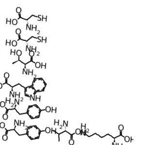 CC(C)[C@H](N)C(=O)O.C[C@@H](O)[C@H](N)C(=O)O.NCCCC[C@H](N)C(=O)O.N[C@@H](CS)C(=O)O.N[C@@H](CS)C(=O)O.N[C@@H](Cc1ccc(O)cc1)C(=O)O.N[C@@H](Cc1ccc(O)cc1)C(=O)O.N[C@H](Cc1c[nH]c2ccccc12)C(=O)O